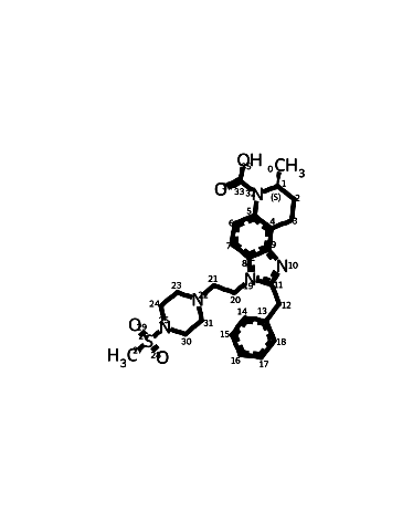 C[C@H]1CCc2c(ccc3c2nc(Cc2ccccc2)n3CCN2CCN(S(C)(=O)=O)CC2)N1C(=O)O